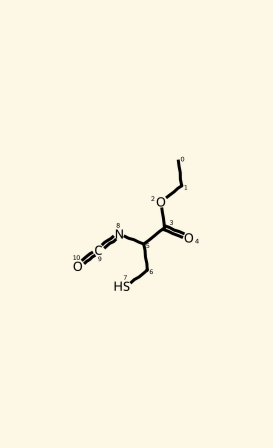 CCOC(=O)C(CS)N=C=O